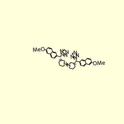 COc1ccc2cc(C([C@H]3CCCN(N4CCC[C@H](C(c5ccc6cc(OC)ccc6c5)n5ncnn5)C4)C3)n3ncnn3)ccc2c1